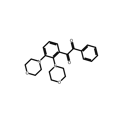 O=C(C(=O)c1cccc(N2CCOCC2)c1N1CCOCC1)c1ccccc1